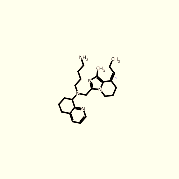 CC/C=C1/CCCn2c(CN(CCCCN)C3CCCc4cccnc43)nc(C)c21